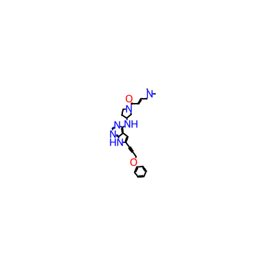 CN(C)CC=CC(=O)N1CCC(Nc2ncnc3[nH]c(C#CCOc4ccccc4)cc23)C1